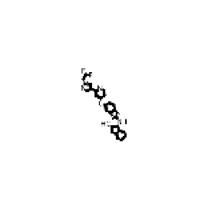 O[C@H]1Cc2ccccc2[C@H]1Nc1nc2ccc(Oc3ccnc(-c4cnn(CC(F)F)c4)c3)cc2s1